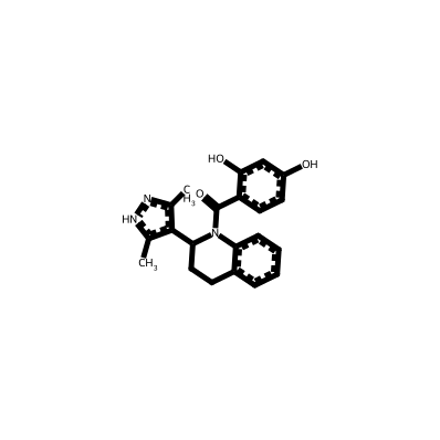 Cc1n[nH]c(C)c1C1CCc2ccccc2N1C(=O)c1ccc(O)cc1O